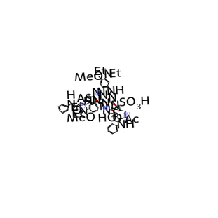 CCN(CC)c1cc(Nc2nc(Nc3cc(N(CC)CC)c(OC)cc3/N=N/c3nc(S(=O)(=O)O)c(/C=C(/C(C)=O)C(=O)Nc4ccccc4)s3)nc(SCCO)n2)c(/N=N/c2ncc(/C=C(\C(C)=O)C(=O)Nc3ccccc3)s2)cc1OC